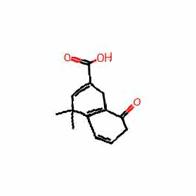 CC1(C)C=C(C(=O)O)CC2=C1C=CCC2=O